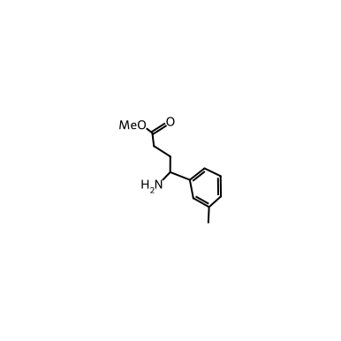 COC(=O)CCC(N)c1cccc(C)c1